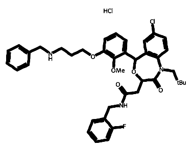 COc1c(OCCCNCc2ccccc2)cccc1C1OC(CC(=O)NCc2ccccc2F)C(=O)N(CC(C)(C)C)c2ccc(Cl)cc21.Cl